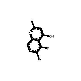 Cc1cc(O)c2c(F)c(Br)ccc2n1